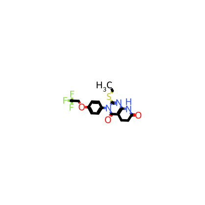 CCSc1nc2c(c(=O)n1-c1ccc(OCC(F)(F)F)cc1)CCC(=O)N2